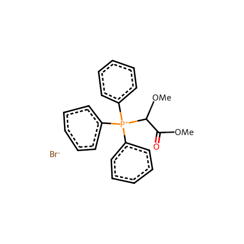 COC(=O)C(OC)[P+](c1ccccc1)(c1ccccc1)c1ccccc1.[Br-]